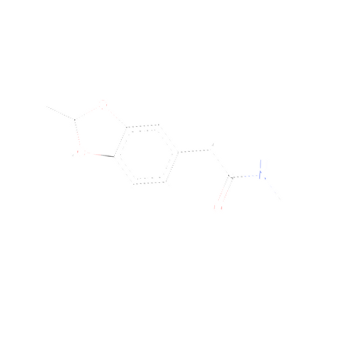 CNC(=O)Cc1ccc2c(c1)OC(C)O2